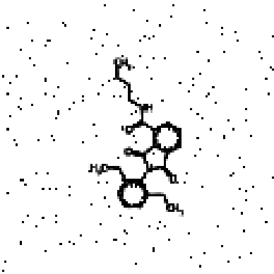 CCCCNC(=O)c1cccc2c1C(=O)N(c1c(CC)cccc1CC)C2=O